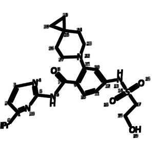 CC(C)c1ccnc(NC(=O)c2ccc(NS(=O)(=O)CCO)cc2N2CCC3(CC2)CC3)n1